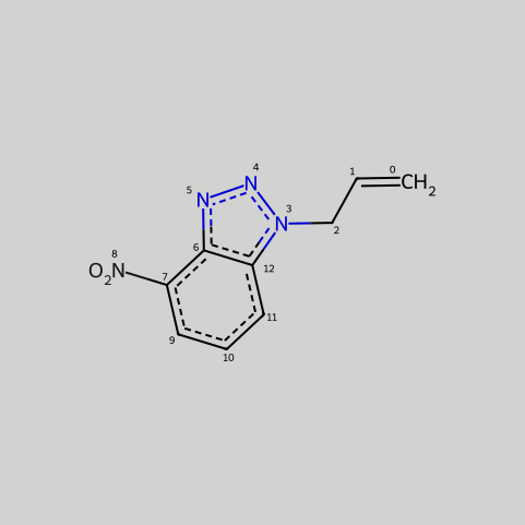 C=CCn1nnc2c([N+](=O)[O-])cccc21